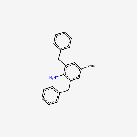 CC(C)(C)c1cc(Cc2ccccc2)c(N)c(Cc2ccccc2)c1